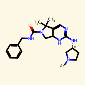 CC(=O)N1CC[C@@H](NC2=NC=C3C(CN(C(=O)NCc4ccccc4)C3(C)C)N2)C1